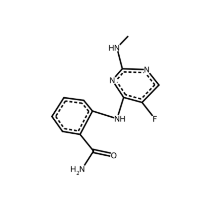 CNc1ncc(F)c(Nc2ccccc2C(N)=O)n1